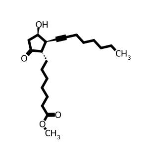 CCCCCCC#C[C@@H]1[C@H](O)CC(=O)[C@H]1CCCCCCC(=O)OC